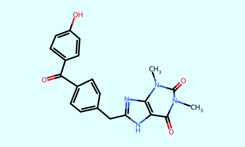 Cn1c(=O)c2[nH]c(Cc3ccc(C(=O)c4ccc(O)cc4)cc3)nc2n(C)c1=O